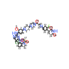 COc1cc(N2CCC(N3CCN(C(=O)C4CN(c5ccc(C6CCC(=O)NC6=O)c(F)c5)C4)CC3)CC2)ccc1Nc1ncc(Cl)c(Nc2cccc3c2N(S(C)(=O)=O)CC3)n1